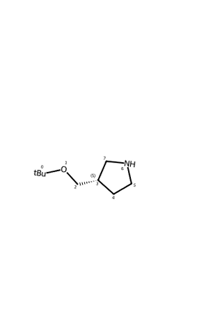 CC(C)(C)OC[C@H]1CCNC1